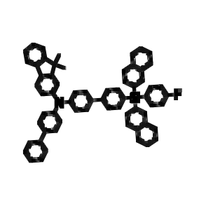 CC1(C)c2ccccc2-c2ccc(N(c3ccc(-c4ccccc4)cc3)c3ccc(-c4ccc([Si](c5ccc(F)cc5)(c5ccc6ccccc6c5)c5ccc6ccccc6c5)cc4)cc3)cc21